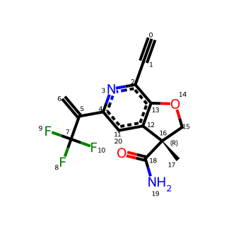 C#Cc1nc(C(=C)C(F)(F)F)cc2c1OC[C@]2(C)C(N)=O